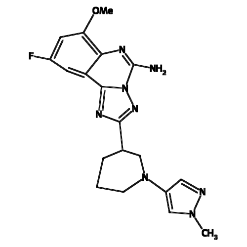 COc1cc(F)cc2c1nc(N)n1nc(C3CCCN(c4cnn(C)c4)C3)nc21